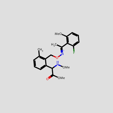 CONC(C(=O)OC)c1cccc(C)c1CO/N=C(\C)c1c(F)cccc1OC